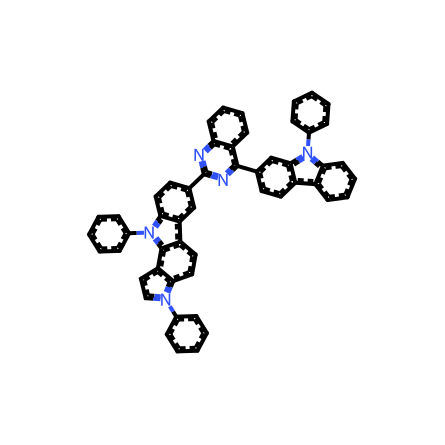 c1ccc(-n2ccc3c2ccc2c4cc(-c5nc(-c6ccc7c8ccccc8n(-c8ccccc8)c7c6)c6ccccc6n5)ccc4n(-c4ccccc4)c23)cc1